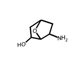 NC1CC2CC(O)C1O2